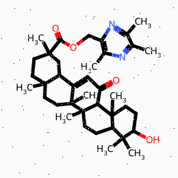 Cc1nc(C)c(COC(=O)C2(C)CCC3(C)CCC4(C)C(=CC(=O)C5C6(C)CCC(O)C(C)(C)C6CCC54C)C3C2)nc1C